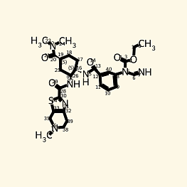 CCOC(=O)N(C=N)c1cccc(C(=O)N[C@H]2CC[C@H](C(=O)N(C)C)C[C@H]2NC(=O)c2nc3c(s2)CN(C)CC3)c1